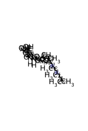 CC(C)=CCC/C(C)=C/CC/C(C)=C/CCC1(C)CCc2cc(OC(=O)NC3C=CN(C4OC(CO)C(O)C4(F)F)C(=O)N3)cc(C)c2O1